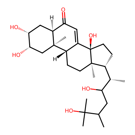 CC(CC(O)[C@@H](C)[C@H]1CC[C@@]2(O)C3=CC(=O)[C@@H]4C[C@@H](O)[C@@H](O)C[C@]4(C)[C@H]3CC[C@]12C)C(C)(C)O